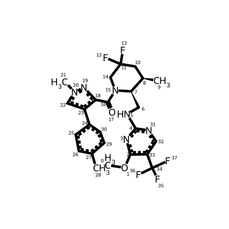 COc1nc(NC[C@@H]2[C@H](C)CC(F)(F)CN2C(=O)c2nn(C)cc2-c2ccc(C)cc2)ncc1C(F)(F)F